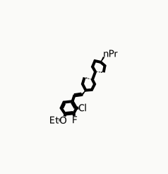 CCC[C@H]1CC[C@H]([C@H]2CC[C@H](C=Cc3ccc(OCC)c(F)c3Cl)CC2)CC1